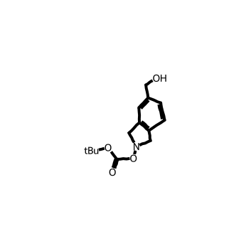 CC(C)(C)OC(=O)ON1Cc2ccc(CO)cc2C1